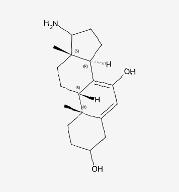 C[C@]12CCC(O)CC1=CC(O)=C1[C@H]2CC[C@]2(C)C(N)CC[C@@H]12